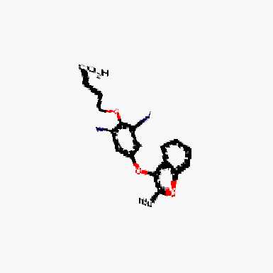 CCCCc1oc2ccccc2c1Oc1cc(I)c(OCCCC(=O)O)c(I)c1